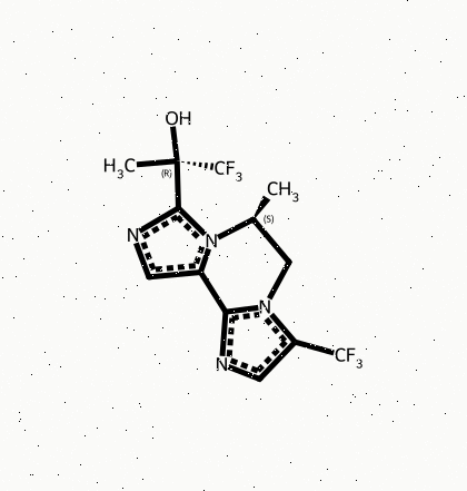 C[C@H]1Cn2c(C(F)(F)F)cnc2-c2cnc([C@@](C)(O)C(F)(F)F)n21